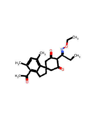 CCON=C(CC)C1C(=O)CC2(CCc3c(C(C)=O)c(C)cc(C)c32)CC1=O